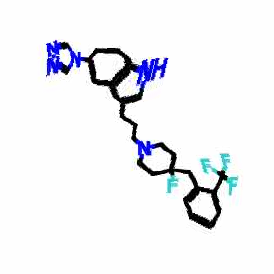 FC1(Cc2ccccc2C(F)(F)F)CCN(CCCc2c[nH]c3ccc(-n4cnnc4)cc23)CC1